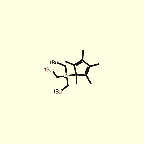 CC1=C(C)[C](C)([Zr]([CH2]C(C)(C)C)([CH2]C(C)(C)C)[CH2]C(C)(C)C)C(C)=C1C